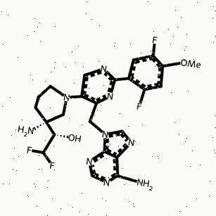 COc1cc(F)c(-c2ncc(N3CCC[C@](N)([C@H](O)C(F)F)C3)c(Cn3cnc4c(N)ncnc43)n2)cc1F